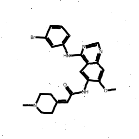 COc1cc2ncnc(Nc3cccc(Br)c3)c2cc1NC(=O)C=C1CCN(C)CC1